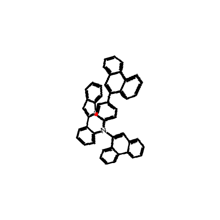 c1ccc(N(c2ccc(-c3cc4ccccc4c4ccccc34)cc2)c2cc3ccccc3c3ccccc23)c(-c2cc3ccccc3o2)c1